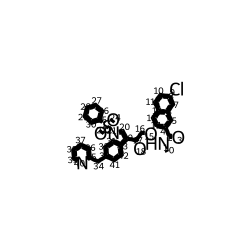 CNC(=O)c1cc2cc(Cl)ccc2cc1OCC(=O)c1cn(S(=O)(=O)c2ccccc2)c2cc(Cc3ccccn3)ccc12